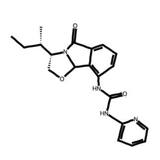 CC[C@H](C)[C@H]1COC2c3c(NC(=O)Nc4ccccn4)cccc3C(=O)N21